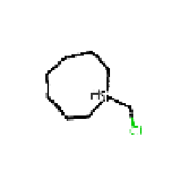 ClC[SiH]1CCCCCCC1